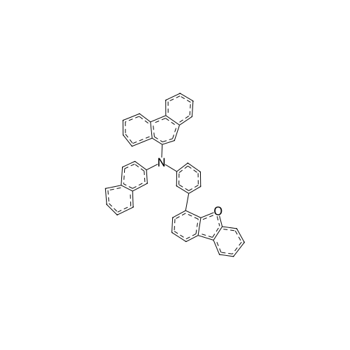 c1cc(-c2cccc3c2oc2ccccc23)cc(N(c2ccc3ccccc3c2)c2cc3ccccc3c3ccccc23)c1